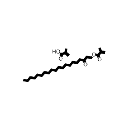 C=C(C)C(=O)O.C=C(C)C(=O)OCCC(=O)CCCCCCCCCCCCCCCCC